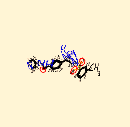 Cc1cccc(S(=O)(=O)NCC(N)c2ccc(C(=O)Nc3ccncc3)cc2)c1